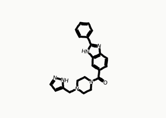 O=C(c1ccc2nc(-c3ccccc3)[nH]c2c1)N1CCN(Cc2ccn[nH]2)CC1